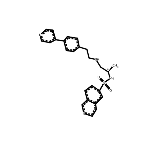 C[C@H](CNCCc1ccc(-c2ccncc2)cc1)NS(=O)(=O)c1ccc2cnccc2c1